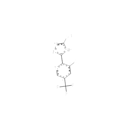 FC(F)(F)c1cnc(-c2nnc(S)[nH]2)c(Cl)c1